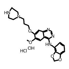 COc1cc2c(Nc3cccc4c3OCO4)ncnc2cc1OCCCN1CCNCC1.Cl.Cl